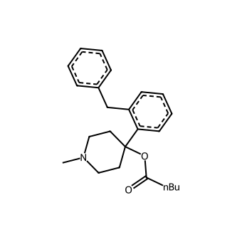 CCCCC(=O)OC1(c2ccccc2Cc2ccccc2)CCN(C)CC1